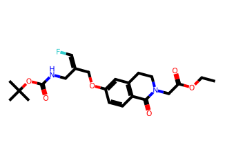 CCOC(=O)CN1CCc2cc(OC/C(=C/F)CNC(=O)OC(C)(C)C)ccc2C1=O